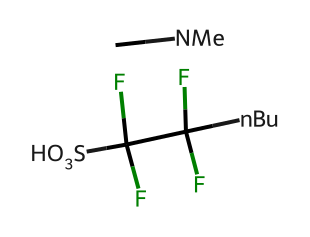 CCCCC(F)(F)C(F)(F)S(=O)(=O)O.CNC